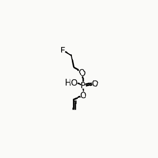 C=COP(=O)(O)OCCF